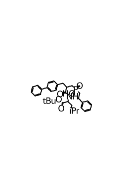 CC(C)CC(NC(=O)C(Cc1ccc(-c2ccccc2)cc1)CP(=O)(O)CCc1ccccc1)C(=O)OC(C)(C)C